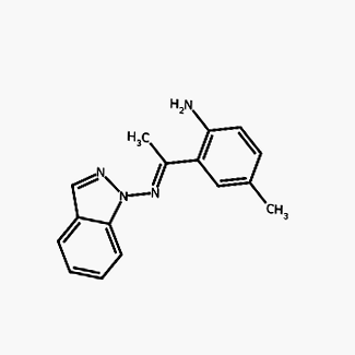 C/C(=N\n1ncc2ccccc21)c1cc(C)ccc1N